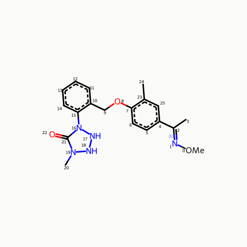 CO/N=C(\C)c1ccc(OCc2ccccc2N2NNN(C)C2=O)c(C)c1